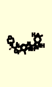 Cc1c(F)c(N(C)C(=O)[C@H](C)N2CCOCC2)cc2nc(-c3n[nH]c4c3C[C@@H]3C[C@]3(C)C4)[nH]c12